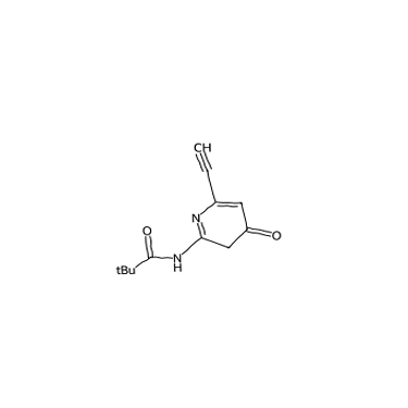 C#CC1=CC(=O)CC(NC(=O)C(C)(C)C)=N1